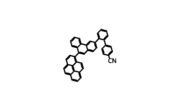 N#Cc1ccc(-c2ccccc2-c2ccc3cc(-c4ccc5ccc6cccc7ccc4c5c67)c4ccccc4c3c2)cc1